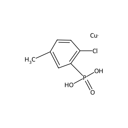 Cc1ccc(Cl)c(P(=O)(O)O)c1.[Cu]